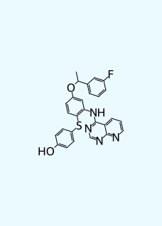 CC(Oc1ccc(Sc2ccc(O)cc2)c(Nc2ncnc3ncccc23)c1)c1cccc(F)c1